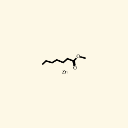 CCCCCCC(=O)OC.[Zn]